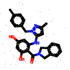 Cc1ccc(Cn2nc(C)cc2Nc2cc(O)cc(O)c2C(=O)N2Cc3ccccc3C2)cc1